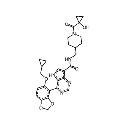 O=C(NCC1CCN(C(=O)C2(O)CC2)CC1)c1c[nH]c2c(-c3c(OCC4CC4)ccc4c3OCO4)ncnc12